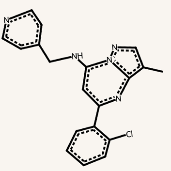 Cc1cnn2c(NCc3ccncc3)cc(-c3ccccc3Cl)nc12